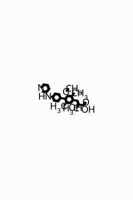 COc1c(C)c(/C=C(\C)C(=O)O)c(O)c(C)c1-c1ccc(Nc2cccnc2)cc1